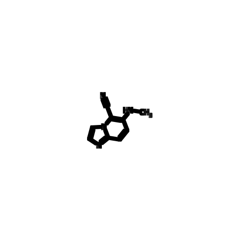 CNc1ccc2nccn2c1C#N